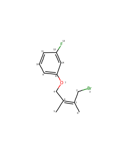 CC(CBr)=C(C)COc1cccc(F)c1